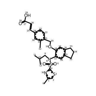 Cc1csc(S(=O)(=O)N(CC(C)C)c2cc3c(cc2OCc2ccc(C=CC(=O)O)cc2C)CCC3)n1